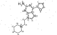 Nc1nc(-c2ccco2)c2ncn(CCN3CCCCC3)c2n1